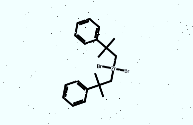 CC(C)([CH2][Zr]([Br])([Br])[CH2]C(C)(C)c1ccccc1)c1ccccc1